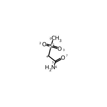 CS(=O)(=O)CC(N)=O